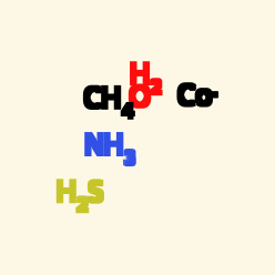 C.N.O.S.[Co]